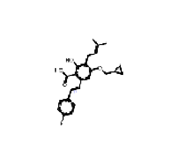 CC(C)=CCc1c(OCC2CC2)cc(/C=C/c2ccc(F)cc2)c(C(=O)O)c1O